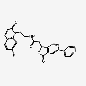 O=C(CC1OC(=O)c2cc(-c3ccccc3)ccc21)NCCn1c(=O)ccc2ccc(F)cc21